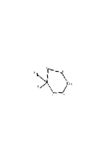 CC1(I)CCOCC1